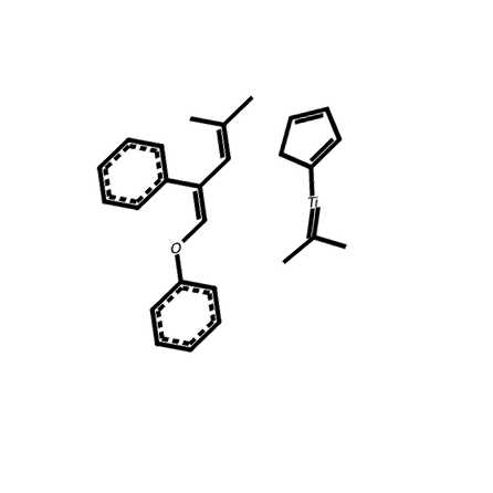 CC(C)=CC(=COc1ccccc1)c1ccccc1.C[C](C)=[Ti][C]1=CC=CC1